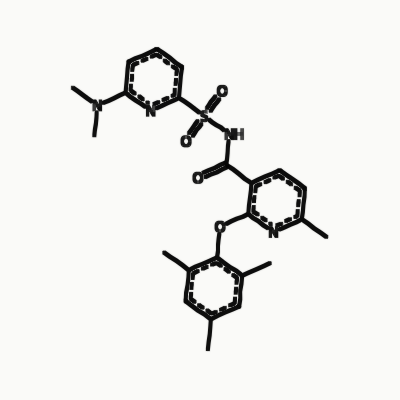 Cc1cc(C)c(Oc2nc(C)ccc2C(=O)NS(=O)(=O)c2cccc(N(C)C)n2)c(C)c1